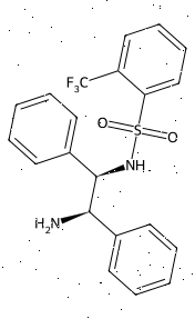 N[C@H](c1ccccc1)[C@H](NS(=O)(=O)c1ccccc1C(F)(F)F)c1ccccc1